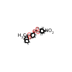 CC1CC2CCCC(C2)C12COC1(CCCC(OC(=O)Oc3ccc([N+](=O)[O-])cc3)C1)O2